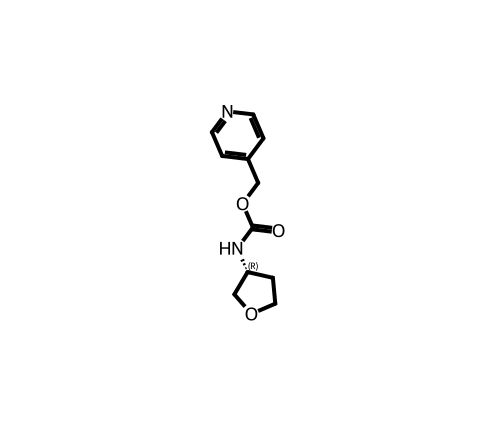 O=C(N[C@@H]1CCOC1)OCc1ccncc1